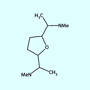 CNC(C)C1CCC(C(C)NC)O1